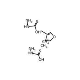 C.C.Cc1ccoc1.NNC(O)=S.NNC(O)=S